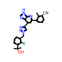 Cc1c(C#N)cccc1-c1cc(-c2cn(Cc3cccc(C(C)(C)O)c3F)nn2)c2nc[nH]c2n1